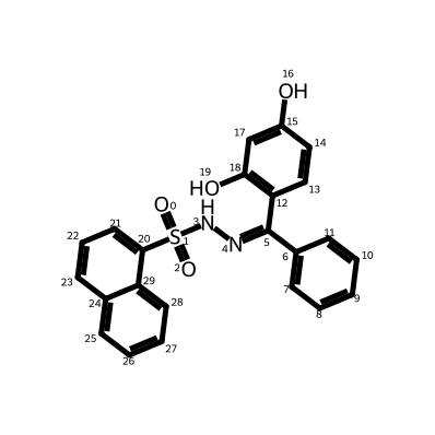 O=S(=O)(N/N=C(/c1ccccc1)c1ccc(O)cc1O)c1cccc2ccccc12